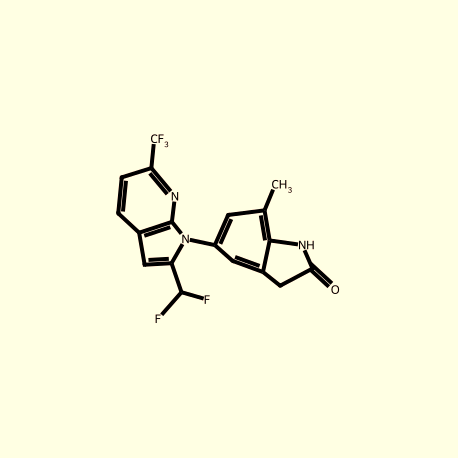 Cc1cc(-n2c(C(F)F)cc3ccc(C(F)(F)F)nc32)cc2c1NC(=O)C2